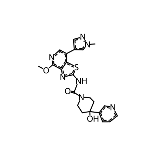 COc1ncc(-c2cnn(C)c2)c2sc(NC(=O)N3CCC(O)(c4cccnc4)CC3)nc12